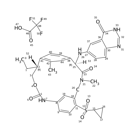 CC[C@H]1COC(=O)Nc2ccc(S(=O)(=O)C3CC3)c(c2)CN(C)C(=O)[C@H](Nc2ccc3nc[nH]c(=O)c3c2)c2ccc1c(C)c2.O=C(O)C(F)(F)F